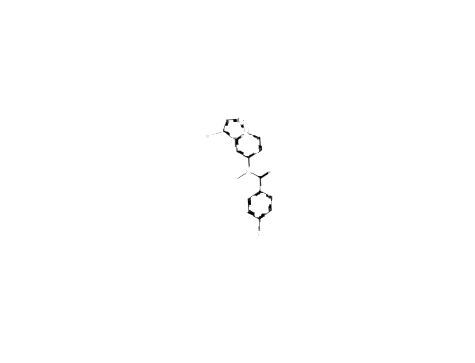 CN(C(=O)c1ccc(F)cc1)c1ccn2ncc(Br)c2c1